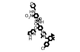 CC1CN(c2ccc(C(=O)NS(=O)(=O)c3ccc(NCC4CCOCC4)c([N+](=O)[O-])c3)c(Oc3cnc4[nH]ccc4c3)c2)CCN1CC1=C(c2ccc(Cl)cc2)CC(C)(C)C2(CC2)C1